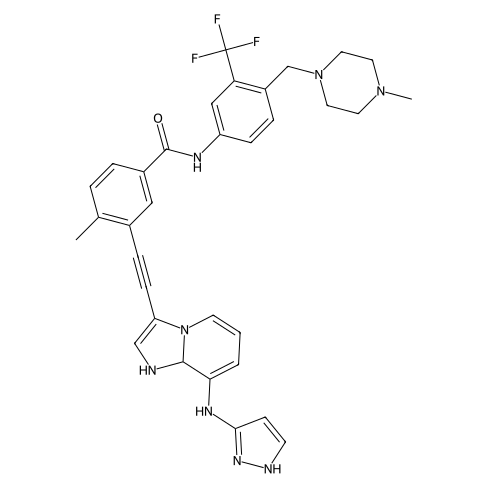 Cc1ccc(C(=O)Nc2ccc(CN3CCN(C)CC3)c(C(F)(F)F)c2)cc1C#CC1=CNC2C(Nc3cc[nH]n3)=CC=CN12